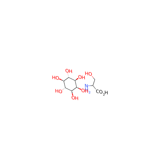 NC(CO)C(=O)O.O[C@H]1[C@H](O)[C@@H](O)[C@H](O)[C@@H](O)[C@H]1O